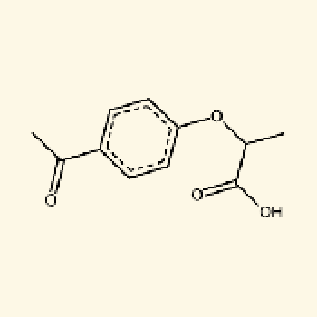 CC(=O)c1ccc(OC(C)C(=O)O)cc1